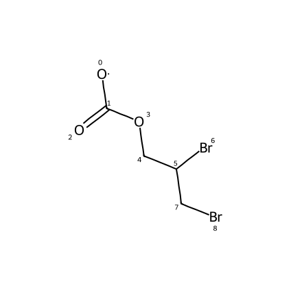 [O]C(=O)OCC(Br)CBr